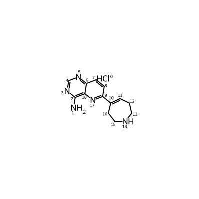 Cl.Nc1ncnc2ccc(C3=CCCNCC3)nc12